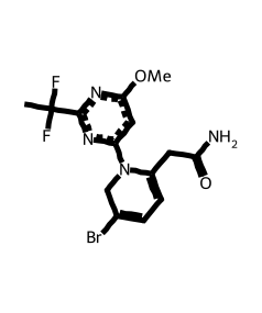 COc1cc(N2CC(Br)=CC=C2CC(N)=O)nc(C(C)(F)F)n1